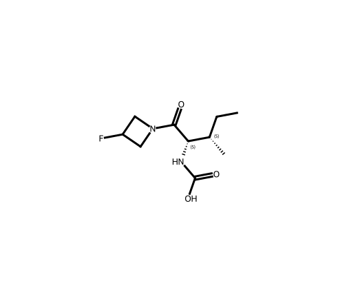 CC[C@H](C)[C@H](NC(=O)O)C(=O)N1CC(F)C1